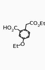 CCOC(=O)Cc1ccc(OCC)cc1C(=O)O